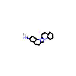 CCNc1ccc2c(ccc3c[n+]4c5ccccc5ccc4n32)c1.[I-]